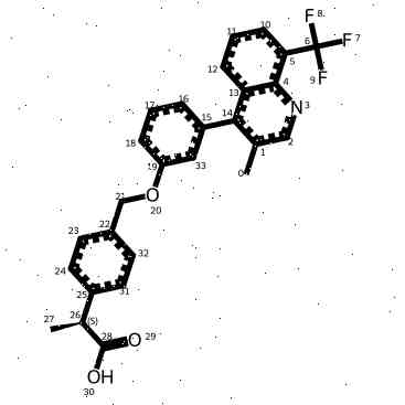 Cc1cnc2c(C(F)(F)F)cccc2c1-c1cccc(OCc2ccc([C@H](C)C(=O)O)cc2)c1